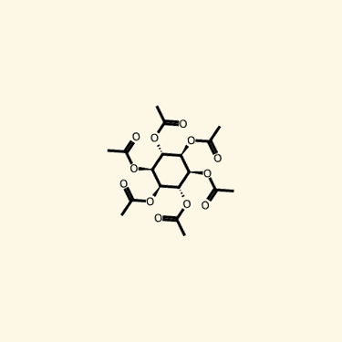 CC(=O)O[C@H]1[C@H](OC(C)=O)[C@@H](OC(C)=O)[C@@H](OC(C)=O)[C@H](OC(C)=O)[C@H]1OC(C)=O